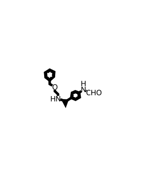 O=CNc1ccc(C2CC2NCCOCc2ccccc2)cc1